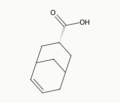 O=C(O)[C@H]1CC2C=CCC(C2)C1